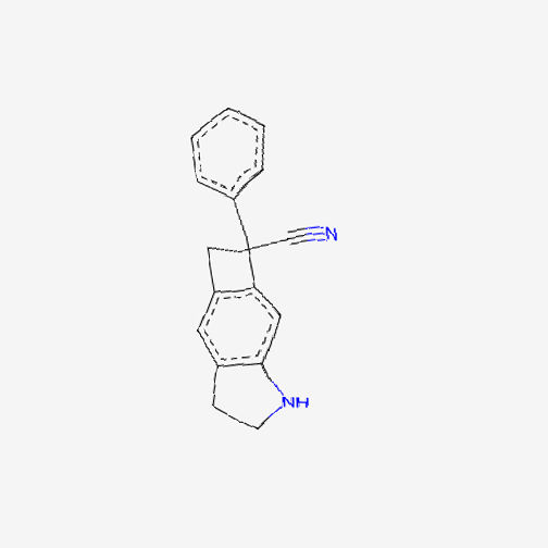 N#CC1(c2ccccc2)Cc2cc3c(cc21)NCC3